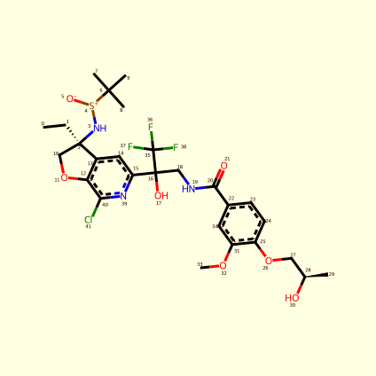 CC[C@@]1(N[S+]([O-])C(C)(C)C)COc2c1cc(C(O)(CNC(=O)c1ccc(OC[C@@H](C)O)c(OC)c1)C(F)(F)F)nc2Cl